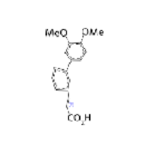 COc1ccc(-c2cccc(/C=C/C(=O)O)c2)cc1OC